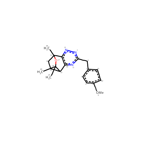 COc1ccc(Cc2nnc3c(n2)C2CCC3(C)OC2(C)C)cc1